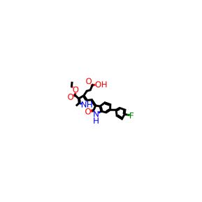 CCOC(=O)c1c(C)[nH]c(/C=C2\C(=O)Nc3cc(-c4ccc(F)cc4)ccc32)c1CCC(=O)O